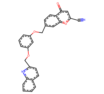 N#Cc1cc(=O)c2ccc(COc3cccc(OCc4ccc5ccccc5n4)c3)cc2o1